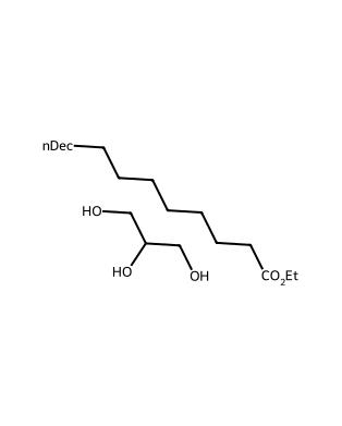 CCCCCCCCCCCCCCCCCC(=O)OCC.OCC(O)CO